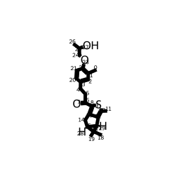 Cc1cc(CCC(=O)c2sc(C)c3c2C[C@@H]2[C@H]3C2(C)C)ccc1OCC(C)O